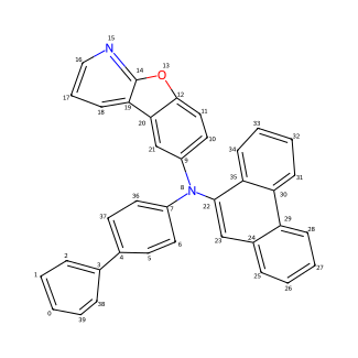 c1ccc(-c2ccc(N(c3ccc4oc5ncccc5c4c3)c3cc4ccccc4c4ccccc34)cc2)cc1